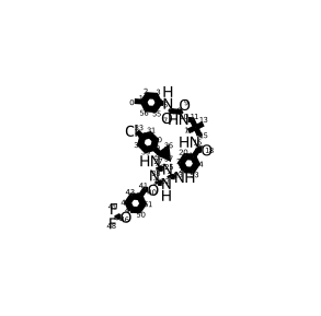 Cc1ccc(NC(=O)C(=O)NCC(C)(C)CNC(=O)c2ccc(NC3=NC(NC4(c5ccc(Cl)cc5)CC4)=NC(OCc4ccc(OC(F)F)cc4)N3)cc2)cc1